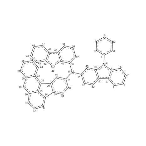 c1ccc(-n2c3ccccc3c3ccc(N(c4ccc5c(c4)-c4c6ccccc6cc6cccc-5c46)c4cccc5c4oc4ccccc45)cc32)cc1